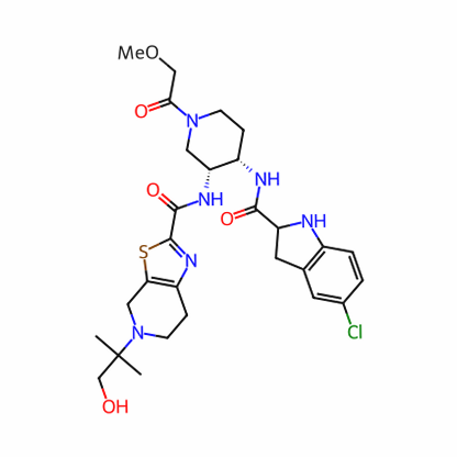 COCC(=O)N1CC[C@H](NC(=O)C2Cc3cc(Cl)ccc3N2)[C@H](NC(=O)c2nc3c(s2)CN(C(C)(C)CO)CC3)C1